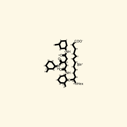 CC1CCCC(NC(=O)CC(CC(=O)NC2CCCC(C)C2)C(=O)NC2CCCC(C)C2)C1.CCCCCCC(O)CCCCCCCCCCC(=O)[O-].[Na+]